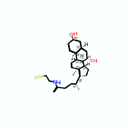 C=C(CC[C@@H](C)[C@H]1CC[C@H]2[C@@H]3[C@@H](O)C[C@@H]4C[C@H](O)CC[C@]4(C)[C@H]3CC[C@]12C)NCCS